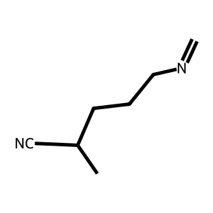 C=NCCCC(C)C#N